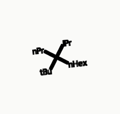 CCCCCCC(CCC)(C(C)C)C(C)(C)C